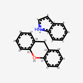 c1ccc2[nH]ccc2c1.c1ccc2c(c1)Cc1ccccc1O2